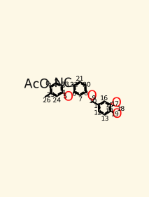 CC(=O)Oc1ccc(Oc2cc(OCc3ccc4c(c3)OCO4)ccc2C#N)cc1C